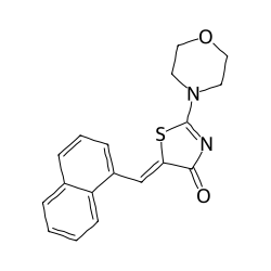 O=C1N=C(N2CCOCC2)SC1=Cc1cccc2ccccc12